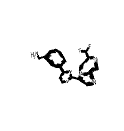 NCc1cccc(-c2ccnc(-c3cnc4cnc(C(F)F)cn34)n2)c1